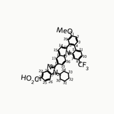 COc1ccc(-c2ccc(C(F)(F)F)cc2)c(-c2ccc3cc(-c4nc5cc(C(=O)O)ccc5n4C4CCCCC4)ccc3n2)c1